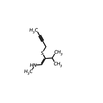 CC#CCS/C(=C\NC)C(C)C